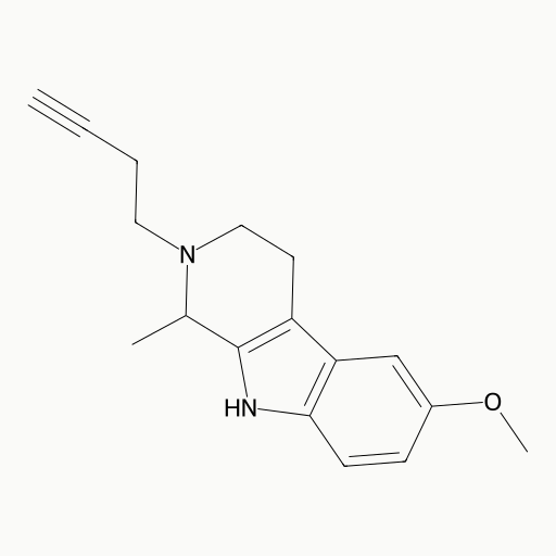 C#CCCN1CCc2c([nH]c3ccc(OC)cc23)C1C